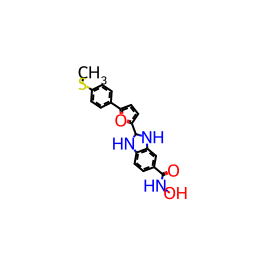 CSc1ccc(-c2ccc(C3Nc4ccc(C(=O)NO)cc4N3)o2)cc1